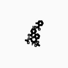 CC(=O)OC1CC(F)(F)C(OC(C)=O)c2ccccc2N1C(=O)c1ccc(NC(=O)c2ccccc2C)cc1